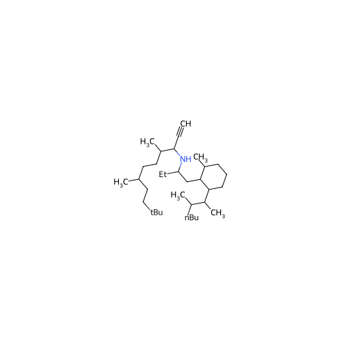 C#CC(NC(CC)CC1C(C)CCCC1C(C)C(C)CCCC)C(C)CCC(C)CCC(C)(C)C